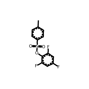 Cc1ccc(S(=O)(=O)Oc2c(F)cc(F)cc2F)cc1